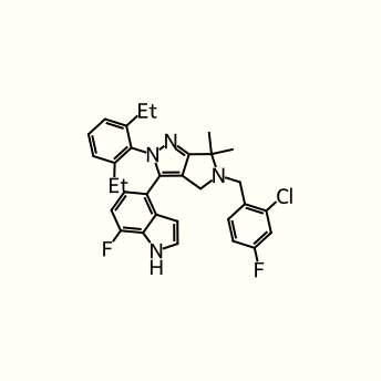 CCc1cccc(CC)c1-n1nc2c(c1-c1ccc(F)c3[nH]ccc13)CN(Cc1ccc(F)cc1Cl)C2(C)C